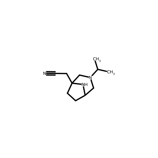 CC(C)N1CC2CCC(CC#N)(C1)N2